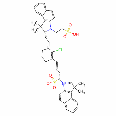 CC1(C)C=[N+](C(CC=CC2=C(Cl)C(=CC=C3N(CCS(=O)(=O)O)c4ccc5ccccc5c4C3(C)C)CCC2)S(=O)(=O)[O-])c2ccc3ccccc3c21